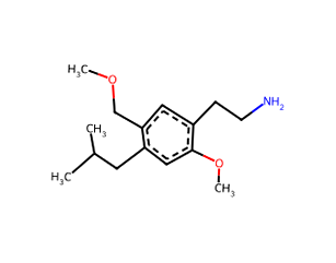 COCc1cc(CCN)c(OC)cc1CC(C)C